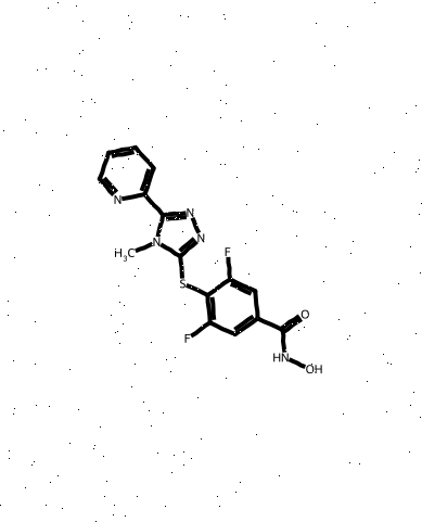 Cn1c(Sc2c(F)cc(C(=O)NO)cc2F)nnc1-c1ccccn1